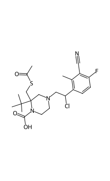 CC(=O)SCC1(C(C)(C)C)CN(CC(Cl)c2ccc(F)c(C#N)c2C)CCN1C(=O)O